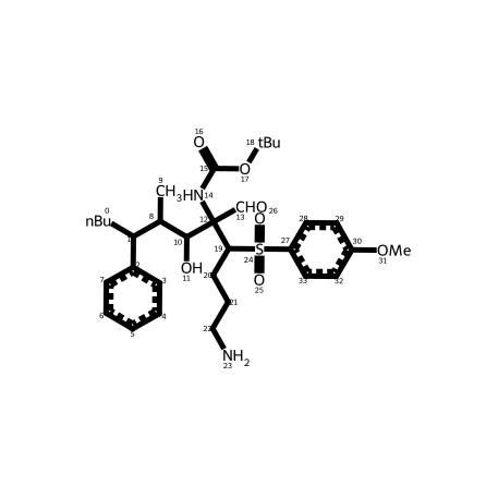 CCCCC(c1ccccc1)C(C)C(O)C(C=O)(NC(=O)OC(C)(C)C)C(CCCN)S(=O)(=O)c1ccc(OC)cc1